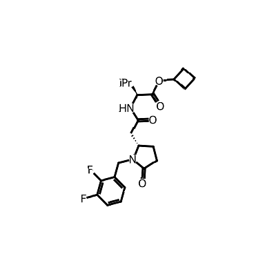 CC(C)[C@H](NC(=O)C[C@@H]1CCC(=O)N1Cc1cccc(F)c1F)C(=O)OC1CCC1